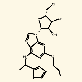 CCCSc1nc(NC(C)c2cccs2)c2ncn([C@@H]3O[C@H](CO)[C@@H](O)[C@H]3O)c2n1